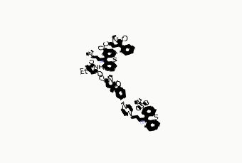 CCC1(C)CC(=O)NC1=O.CN(C)CC/C=C1/c2ccccc2Sc2ccc(Cl)cc21.CN1C(=O)CC(C)(c2ccccc2)C1=O.CN1C(=O)CC(c2ccccc2)C1=O.CN1CCN(CC/C=C2/c3ccccc3Sc3ccc(S(=O)(=O)N(C)C)cc32)CC1